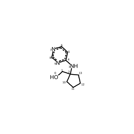 OCC1(Nc2ccn[c]n2)CCCC1